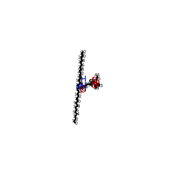 CCCCCCCCCCCCCCCCN(CCCCCCCCCCCCCCCC)C(=O)NCCCC[Si](OCC)(OCC)OCC